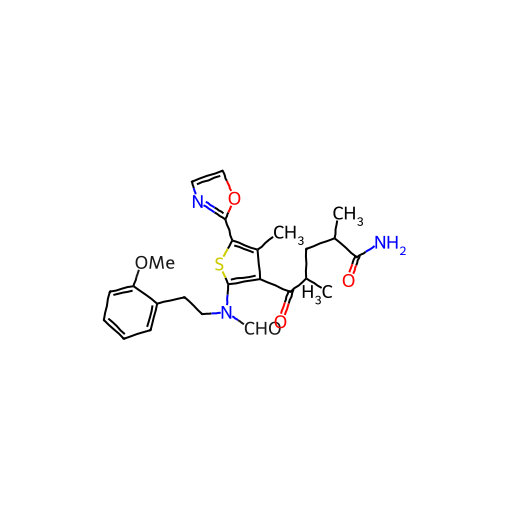 COc1ccccc1CCN(C=O)c1sc(-c2ncco2)c(C)c1C(=O)C(C)CC(C)C(N)=O